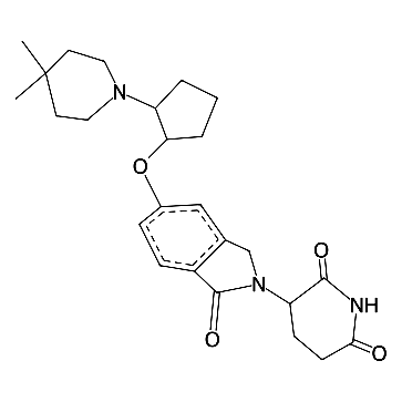 CC1(C)CCN(C2CCCC2Oc2ccc3c(c2)CN(C2CCC(=O)NC2=O)C3=O)CC1